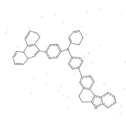 C1=CCCC(N(c2ccc(C3=CC4C=CC=CC4C4=C3CCC=C4)cc2)c2ccc(-c3ccc4c(c3)CCc3oc5ccccc5c3-4)cc2)=C1